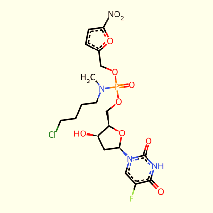 CN(CCCCCl)P(=O)(OCc1ccc([N+](=O)[O-])o1)OC[C@H]1O[C@@H](n2cc(F)c(=O)[nH]c2=O)C[C@H]1O